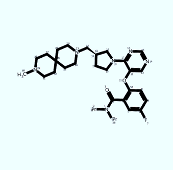 CC(C)N(C(=O)c1cc(F)ccc1Oc1cncnc1N1CC[C@@H](CN2CCC3(CCN(C)CC3)CC2)C1)C(C)C